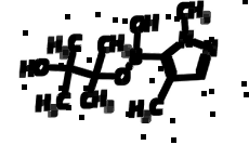 Cc1cnn(C)c1B(O)OC(C)(C)C(C)(C)O